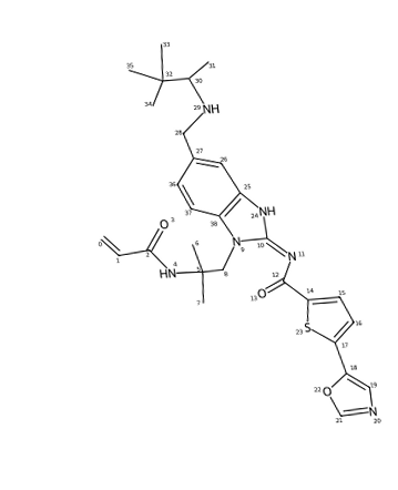 C=CC(=O)NC(C)(C)Cn1c(=NC(=O)c2ccc(-c3cnco3)s2)[nH]c2cc(CNC(C)C(C)(C)C)ccc21